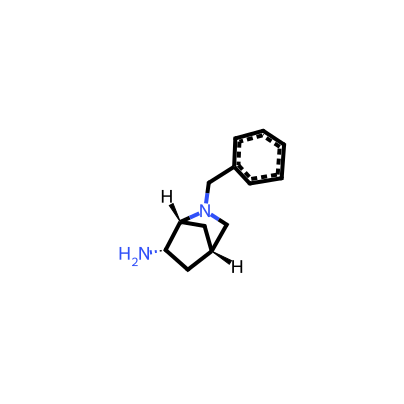 N[C@H]1C[C@@H]2C[C@H]1N(Cc1ccccc1)C2